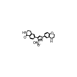 O=C1NCCc2cc(-c3cn(-c4ccc5c(c4)NCCO5)nc3[N+](=O)[O-])ccc21